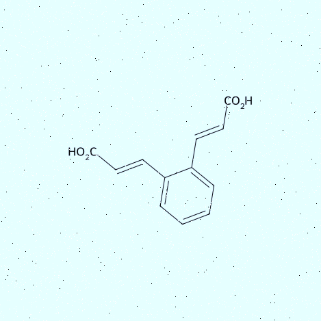 O=C(O)C=Cc1ccccc1C=CC(=O)O